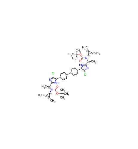 C[C@@H]1[C@H](C)[C@@H]1N(C(=O)OC(C)(C)C)[C@@H](C)c1nc(Cl)c(-c2ccc(-c3ccc(-c4[nH]c([C@H](C)N(C(=O)OC(C)(C)C)[C@@H]5[C@H](C)[C@@H]5C)nc4Cl)cc3)cc2)[nH]1